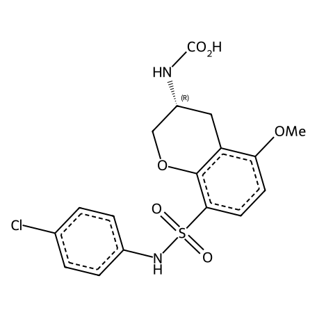 COc1ccc(S(=O)(=O)Nc2ccc(Cl)cc2)c2c1C[C@@H](NC(=O)O)CO2